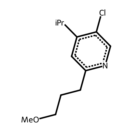 COCCCc1cc(C(C)C)c(Cl)cn1